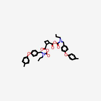 CCCN(Cc1ccc(Oc2ccc(C)cc2)cc1)C(=O)OC(=O)C1CCC1C(=O)OC(=O)N(CCC)Cc1ccc(Oc2ccc(C)cc2)cc1